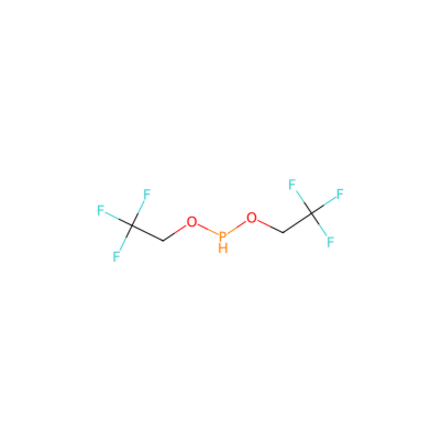 FC(F)(F)COPOCC(F)(F)F